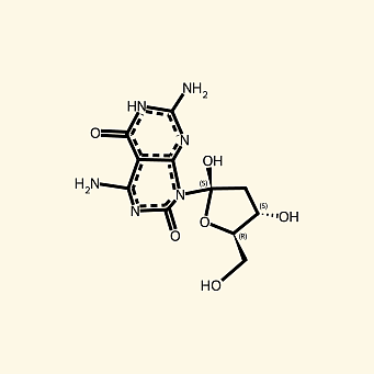 Nc1nc2c(c(N)nc(=O)n2[C@]2(O)C[C@H](O)[C@@H](CO)O2)c(=O)[nH]1